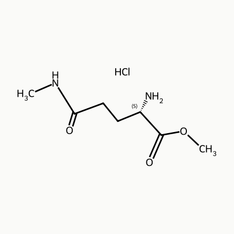 CNC(=O)CC[C@H](N)C(=O)OC.Cl